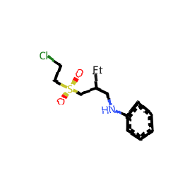 CCC(CNc1ccccc1)CS(=O)(=O)CCCl